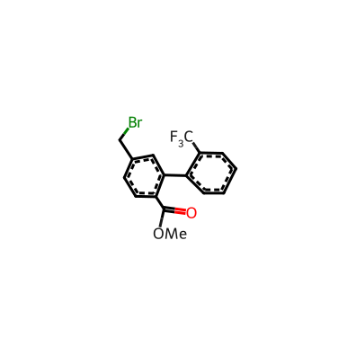 COC(=O)c1ccc(CBr)cc1-c1ccccc1C(F)(F)F